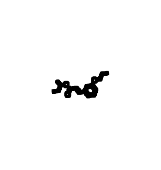 CCCOc1cccc(C=CC(=O)OC(C)CC)c1